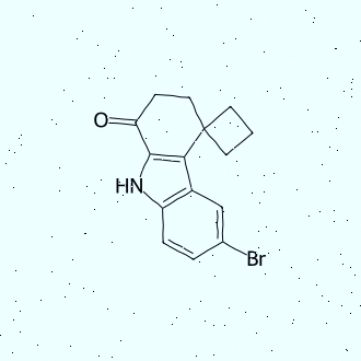 O=C1CCC2(CCC2)c2c1[nH]c1ccc(Br)cc21